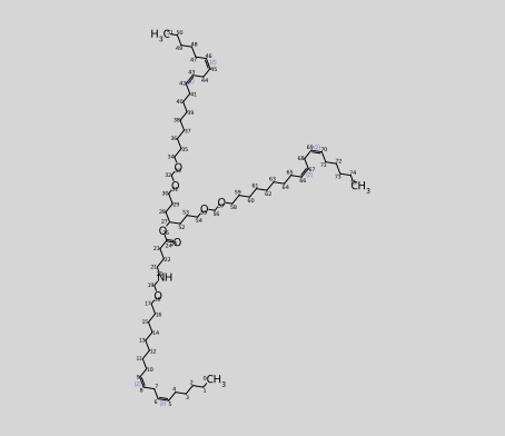 CCCCC/C=C\C/C=C\CCCCCCCCOCNCCCC(=O)OC(CCCOCOCCCCCCCC/C=C\C/C=C\CCCCC)CCCOCOCCCCCCCC/C=C\C/C=C\CCCCC